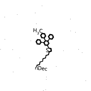 CCCCCCCCCCCCCCCCCCc1ccc(-c2cc(-c3ccccc3)c(-c3ccc(C)cc3)c(-c3ccccc3)c2)s1